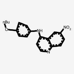 CCCCOc1ccc(Nc2ccnc3ccc([N+](=O)[O-])cc23)cc1